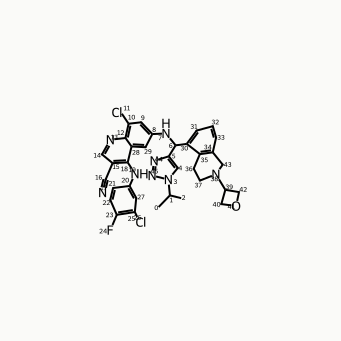 CC(C)n1cc(C(Nc2cc(Cl)c3ncc(C#N)c(Nc4ccc(F)c(Cl)c4)c3c2)c2cccc3c2CCN(C2COC2)C3)nn1